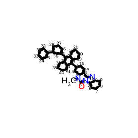 Cn1c(=O)n2c3ccccc3nc2c2ccc(-c3c4ccccc4c(-c4cccc(-c5ccccc5)c4)c4ccccc34)cc21